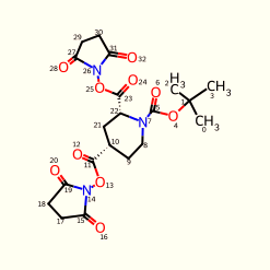 CC(C)(C)OC(=O)N1CC[C@H](C(=O)ON2C(=O)CCC2=O)C[C@@H]1C(=O)ON1C(=O)CCC1=O